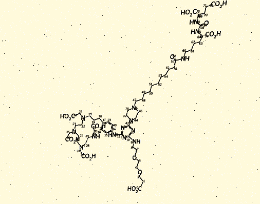 O=C(O)CCOCCOCCNc1nc(Nc2ccc(CCCN(CCN(CCN(CCNCC(=O)O)CC(=O)O)CC(=O)O)CC(=O)O)cc2)nc(N2CCN(CCCCCCCCCCC(=O)NCCCC[C@H](NC(=O)N[C@@H](CCC(=O)O)C(=O)O)C(=O)O)CC2)n1